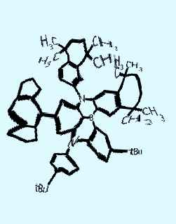 CC(C)(C)c1ccc(N2c3ccc(C(C)(C)C)cc3B3c4cc5c(cc4N(c4ccc6c(c4)C(C)(C)CCC6(C)C)c4cc(-c6c7c(cc8c6CCC8)CCC7)cc2c43)C(C)(C)CCC5(C)C)cc1